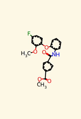 COC(=O)c1ccc(C(=O)Nc2ccccc2Oc2ccc(F)cc2OC)cc1